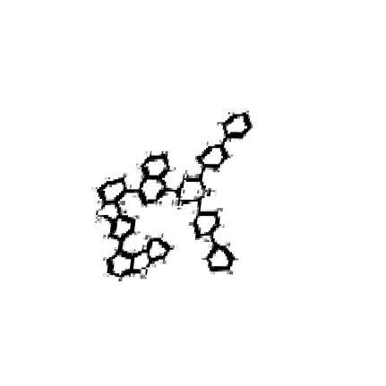 c1ccc(-c2ccc(C3=NC(c4ccc(-c5cccc6oc7cc(-c8cccc9oc%10ccccc%10c89)ccc7c56)c5ccccc45)NC(c4ccc(-c5ccccc5)cc4)N3)cc2)cc1